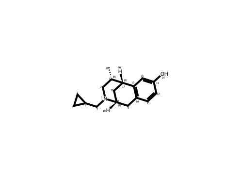 C[C@H]1CN(CC2CC2)[C@H]2Cc3ccc(O)cc3[C@@H]1C2